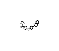 O=C(C1CCCO1)N1CCC(Oc2ccc(-c3cnc4ccccc4n3)cc2)CC1